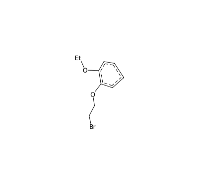 [CH2]COc1ccccc1OCCBr